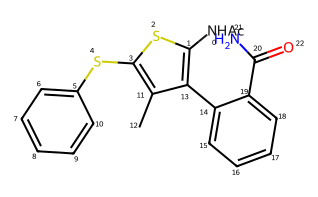 CC(=O)Nc1sc(Sc2ccccc2)c(C)c1-c1ccccc1C(N)=O